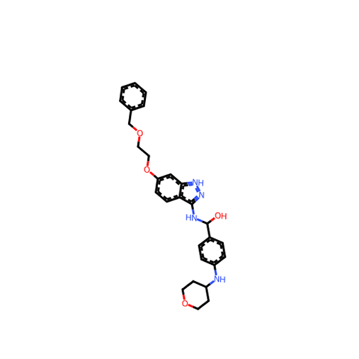 OC(Nc1n[nH]c2cc(OCCOCc3ccccc3)ccc12)c1ccc(NC2CCOCC2)cc1